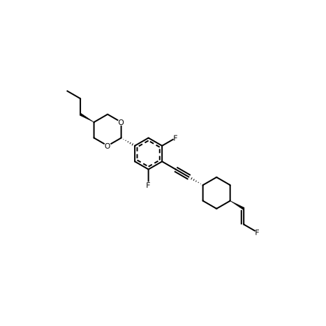 CCC[C@H]1CO[C@H](c2cc(F)c(C#C[C@H]3CC[C@H](C=CF)CC3)c(F)c2)OC1